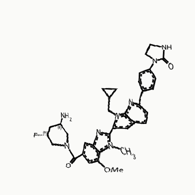 COc1cc(C(=O)N2C[C@H](N)C[C@@H](F)C2)cc2nc(-c3cc4ccc(-c5ccc(N6CCNC6=O)cc5)nc4n3CC3CC3)n(C)c12